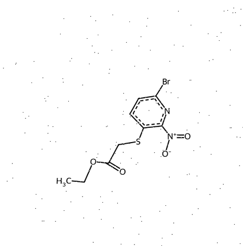 CCOC(=O)CSc1ccc(Br)nc1[N+](=O)[O-]